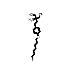 NC(CO)(CO)CCc1ccc(OCCCCCCCF)cc1